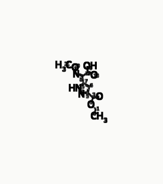 CCOC(=O)c1cc(C(=NOC)C(=O)O)[nH]n1